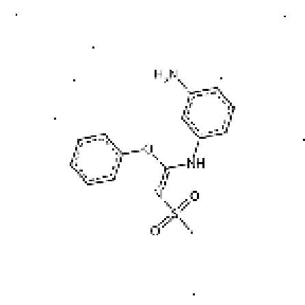 CS(=O)(=O)N=C(Nc1cccc(N)c1)Oc1ccccc1